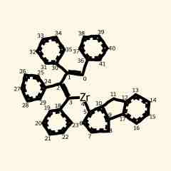 C(=C(C(=[C]([Zr][c]1cccc2c1Cc1ccccc1-2)c1ccccc1)c1ccccc1)c1ccccc1)c1ccccc1